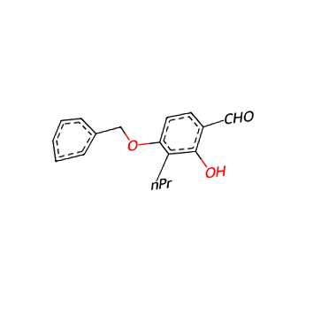 CCCc1c(OCc2ccccc2)ccc(C=O)c1O